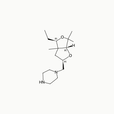 CC[C@H]1OC(C)(C)[C@@H]2O[C@@H](CN3CCNCC3)CC12C